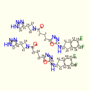 O=C(CCCc1nnc(NC2Cc3cc(F)c(F)cc3C2)o1)N1CC(c2c[nH]nn2)C1.O=C(CCCc1nnc(NC2Cc3cc(F)c(F)cc3C2)o1)N1CC(c2c[nH]nn2)C1